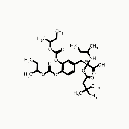 CCC(C)N[C@@](Cc1ccc(OC(=O)OC(C)CC)c(OC(=O)OC(C)CC)c1)(OC(=O)CC(C)(C)C)C(=O)O